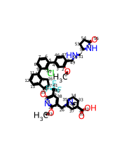 COc1cc(-c2cccc(-c3cccc4c3CC[C@@H]4Oc3nc(OC)c(CN4CC5(C(=O)O)CCC4CC5)cc3C(F)(F)F)c2Cl)ccc1CNC[C@@H]1CCC(=O)N1